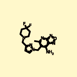 Cc1nc2nonc2c(N)c1Cn1ccc(CN2CCC(F)(F)CC2)n1